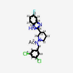 CC(=O)N(Cc1cc(Cl)cc(Cl)c1)N1CCCC(c2nc3cc(F)ccc3[nH]2)C1